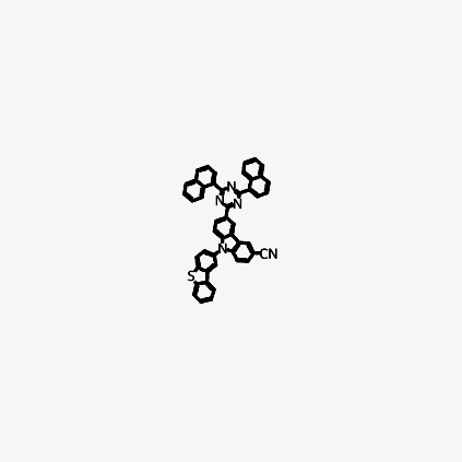 N#Cc1ccc2c(c1)c1cc(-c3nc(-c4cccc5ccccc45)nc(-c4cccc5ccccc45)n3)ccc1n2-c1ccc2sc3ccccc3c2c1